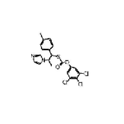 Cc1ccc(C(SC(=O)Oc2cc(Cl)c(Cl)c(Cl)c2)C(C)n2ccnc2)cc1